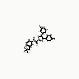 Cc1ccc(C2=NN(C(=O)Nc3ccc4c(c3)CC(C)(C)O4)CC2c2cccc(F)c2)cc1